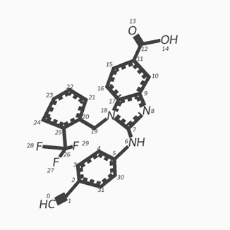 C#Cc1ccc(Nc2nc3cc(C(=O)O)ccc3n2Cc2ccccc2C(F)(F)F)cc1